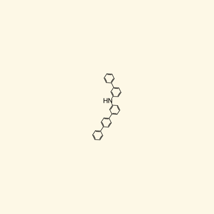 c1ccc(-c2ccc(-c3cccc(Nc4cccc(-c5ccccc5)c4)c3)cc2)cc1